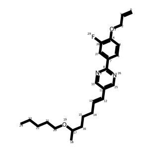 C=CCOc1ccc(-c2ncc(C=CCCCC(C)OCCCCC)cn2)cc1F